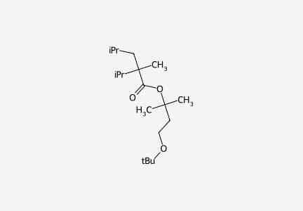 CC(C)CC(C)(C(=O)OC(C)(C)CCOC(C)(C)C)C(C)C